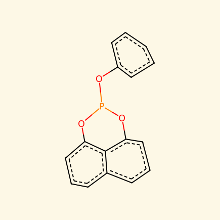 c1ccc(OP2Oc3cccc4cccc(c34)O2)cc1